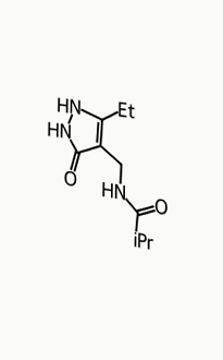 CCc1[nH][nH]c(=O)c1CNC(=O)C(C)C